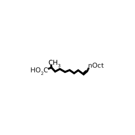 CCCCCCCC/C=C\CCCCCCC(C)C(=O)O